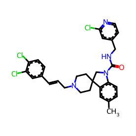 Cc1ccc2c(c1)C1(CCN(C/C=C/c3ccc(Cl)c(Cl)c3)CC1)CN2C(=O)NCc1ccnc(Cl)c1